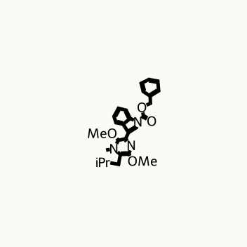 COC1=C(CC(C)C)N(C)C(OC)C(c2cn(C(=O)OCc3ccccc3)c3ccccc23)=N1